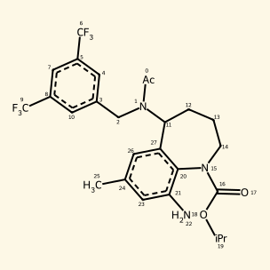 CC(=O)N(Cc1cc(C(F)(F)F)cc(C(F)(F)F)c1)C1CCCN(C(=O)OC(C)C)c2c(N)cc(C)cc21